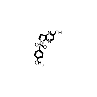 [CH]c1cnc2c(ccn2S(=O)(=O)c2ccc(C)cc2)n1